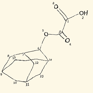 O=C(O)C(=O)OC1C2CC3CC(C2)CC1C3